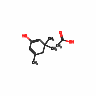 CC(=O)O.CC1=CC(O)=CC(C)(C)C1